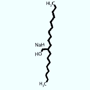 CCCCCCCCCCC(CO)CCCCCCCC.[NaH]